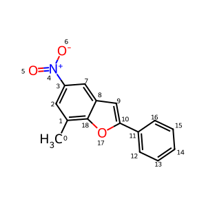 Cc1cc([N+](=O)[O-])cc2cc(-c3ccccc3)oc12